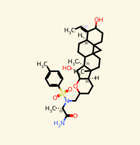 C/C=C1/C(O)CCC23CC24CCC2(C)[C@H]5CCC(CN([C@@H](C)C(N)=O)S(=O)(=O)c6ccc(C)cc6)OC5[C@H](O)[C@@]2(C)C4CC[C@@H]13